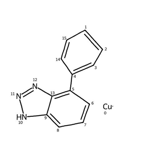 [Cu].c1ccc(-c2cccc3[nH]nnc23)cc1